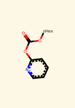 CCCCCCOC(=O)Oc1ccccn1